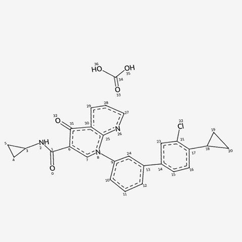 O=C(NC1CC1)c1cn(-c2cccc(-c3ccc(C4CC4)c(Cl)c3)c2)c2ncccc2c1=O.O=C(O)O